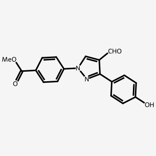 COC(=O)c1ccc(-n2cc(C=O)c(-c3ccc(O)cc3)n2)cc1